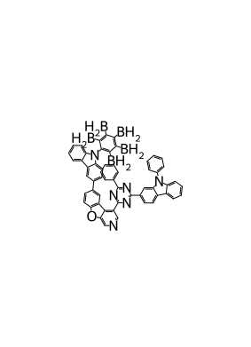 Bc1c(B)c(B)c(-n2c3ccccc3c3cc(-c4ccc5oc6cncc(-c7nc(-c8ccccc8)nc(-c8ccc9c%10ccccc%10n(-c%10ccccc%10)c9c8)n7)c6c5c4)ccc32)c(B)c1B